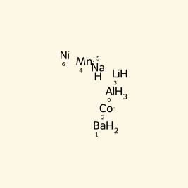 [AlH3].[BaH2].[Co].[LiH].[Mn].[NaH].[Ni]